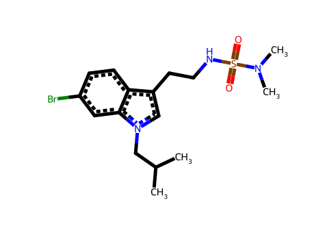 CC(C)Cn1cc(CCNS(=O)(=O)N(C)C)c2ccc(Br)cc21